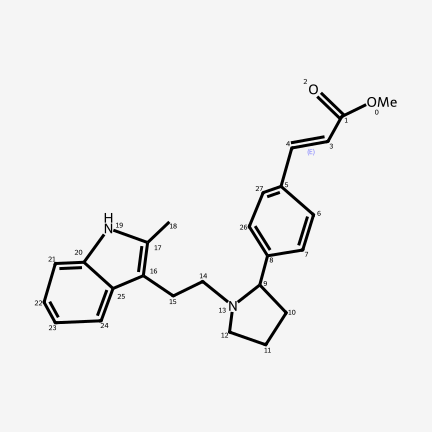 COC(=O)/C=C/c1ccc(C2CCCN2CCc2c(C)[nH]c3ccccc23)cc1